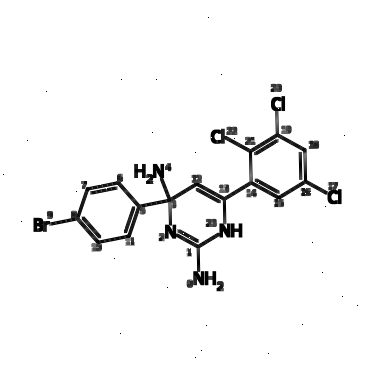 NC1=NC(N)(c2ccc(Br)cc2)C=C(c2cc(Cl)cc(Cl)c2Cl)N1